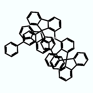 c1ccc(-c2ccc(C3(c4ccc(-c5ccccc5)cc4)c4ccccc4-c4cccc(N(c5cccc6c5-c5ccccc5C65c6ccccc6-c6ccccc65)c5cccc6c5sc5ccccc56)c43)cc2)cc1